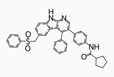 O=C(Nc1ccc(-c2cnc3[nH]c4ccc(CS(=O)(=O)c5ccccc5)cc4c3c2-c2ccccc2)cc1)C1CCCC1